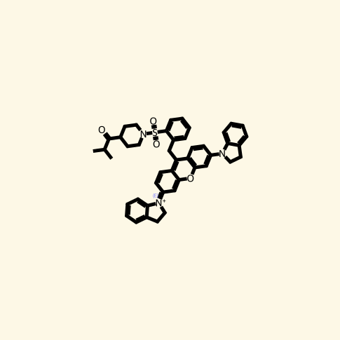 CC(C)C(=O)C1CCN(S(=O)(=O)c2ccccc2Cc2c3cc/c(=[N+]4/CCc5ccccc54)cc-3oc3cc(N4CCc5ccccc54)ccc23)CC1